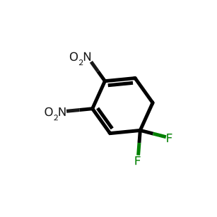 O=[N+]([O-])C1=CCC(F)(F)C=C1[N+](=O)[O-]